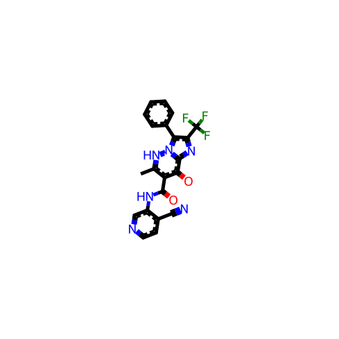 Cc1[nH]n2c(-c3ccccc3)c(C(F)(F)F)nc2c(=O)c1C(=O)Nc1cnccc1C#N